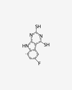 Fc1c[c]c2[nH]c3nc(S)nc(S)c3c2c1